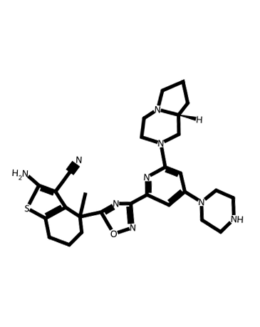 CC1(c2nc(-c3cc(N4CCNCC4)cc(N4CCN5CCC[C@@H]5C4)n3)no2)CCCc2sc(N)c(C#N)c21